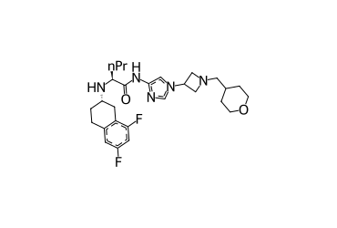 CCC[C@H](N[C@H]1CCc2cc(F)cc(F)c2C1)C(=O)Nc1cn(C2CN(CC3CCOCC3)C2)cn1